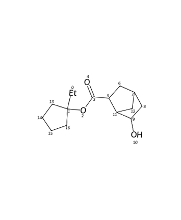 CCC1(OC(=O)C2CC3CC(O)C2C3)CCCC1